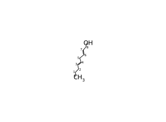 CCCC=CCC=CCO